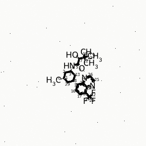 C[C@@H]1C[C@H](NC(=O)[C@@H](O)C(C)(C)C)C[C@H](c2ccc(C(F)(F)F)c3nccnc23)C1